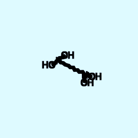 OCCN(CCO)CCCCCCCCCCN(CCO)CCO